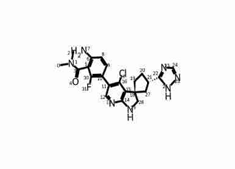 CN(C)C(=O)c1c(N)ccc(-c2cnc3c(c2Cl)[C@@]2(CC[C@H](c4ncn[nH]4)C2)CN3)c1F